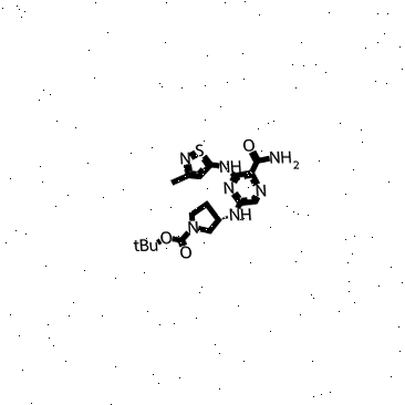 Cc1cc(Nc2nc(N[C@H]3CCN(C(=O)OC(C)(C)C)C3)cnc2C(N)=O)sn1